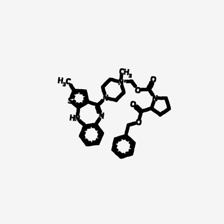 Cc1cc2c(s1)Nc1ccccc1N=C2N1CC[N+](C)(COC(=O)N2CCCC2C(=O)OCc2ccccc2)CC1